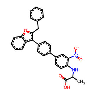 CC(Nc1ccc(-c2ccc(-c3c(Cc4ccccc4)oc4ccccc34)cc2)cc1[N+](=O)[O-])C(=O)O